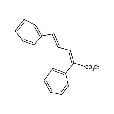 CCOC(=O)C(=CC=Cc1ccccc1)c1ccccc1